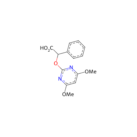 COc1cc(OC)nc(OC(C(=O)O)c2ccccc2)n1